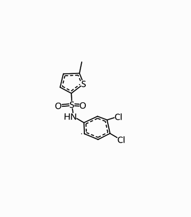 Cc1ccc(S(=O)(=O)Nc2[c]cc(Cl)c(Cl)c2)s1